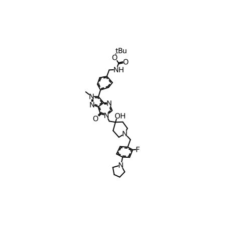 Cn1nc2c(=O)n(CC3(O)CCN(Cc4ccc(N5CCCC5)cc4F)CC3)cnc2c1-c1ccc(CNC(=O)OC(C)(C)C)cc1